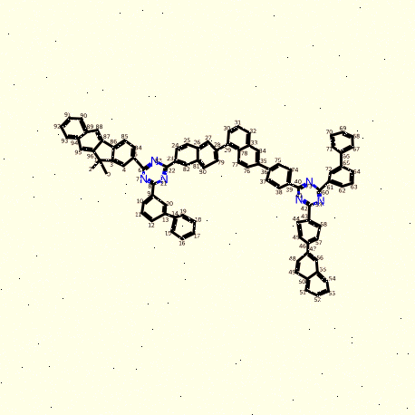 CC1(C)c2cc(-c3nc(-c4cccc(-c5ccccc5)c4)nc(-c4ccc5cc(-c6cccc7cc(-c8ccc(-c9nc(-c%10ccc(-c%11ccc%12ccccc%12c%11)cc%10)nc(-c%10cccc(-c%11ccccc%11)c%10)n9)cc8)ccc67)ccc5c4)n3)ccc2-c2cc3ccccc3cc21